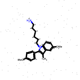 COc1ccc(-c2c(C)c3cc(OC)ccc3n2CCCCCCN)cc1